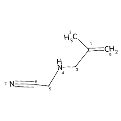 C=C(C)CNCC#N